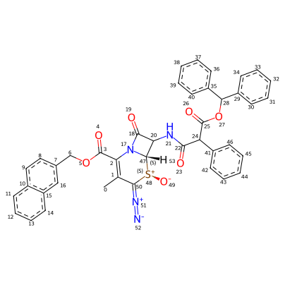 CC1=C(C(=O)OCc2ccc3ccccc3c2)N2C(=O)C(NC(=O)C(C(=O)OC(c3ccccc3)c3ccccc3)c3ccccc3)[C@@H]2[S@@+]([O-])C1=[N+]=[N-]